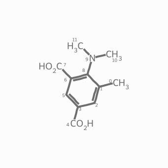 Cc1cc(C(=O)O)cc(C(=O)O)c1N(C)C